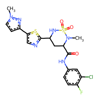 CN1C(C(=O)Nc2ccc(F)c(Cl)c2)CC(c2ncc(-c3ccn(C)n3)s2)NS1(=O)=O